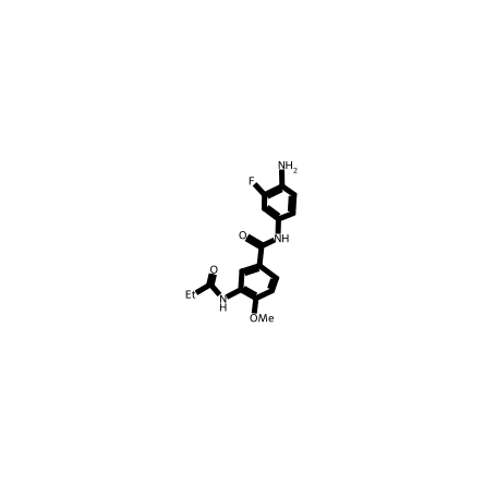 CCC(=O)Nc1cc(C(=O)Nc2ccc(N)c(F)c2)ccc1OC